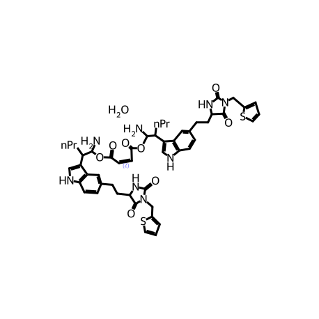 CCCC(c1c[nH]c2ccc(CCC3NC(=O)N(Cc4cccs4)C3=O)cc12)C(N)OC(=O)/C=C\C(=O)OC(N)C(CCC)c1c[nH]c2ccc(CCC3NC(=O)N(Cc4cccs4)C3=O)cc12.O